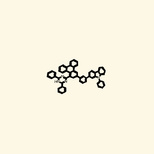 c1ccc(C2=NC(c3cc(-c4cccc(-c5ccc6c7ccccc7n(-c7ccccc7)c6c5)c4)cc4c5ccccc5c5ccccc5c34)=NC(c3ccccc3)N2)cc1